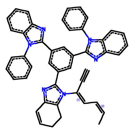 C#C/C(=C\C=C/C)n1c(-c2cc(-c3nc4ccccc4n3-c3ccccc3)cc(-c3nc4ccccc4n3-c3ccccc3)c2)nc2c1CCC=C2